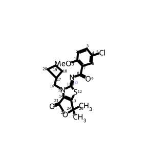 COc1ccc(Cl)cc1C(=O)/N=c1\sc2c(n1CC1CCC1)C(=O)OC2(C)C